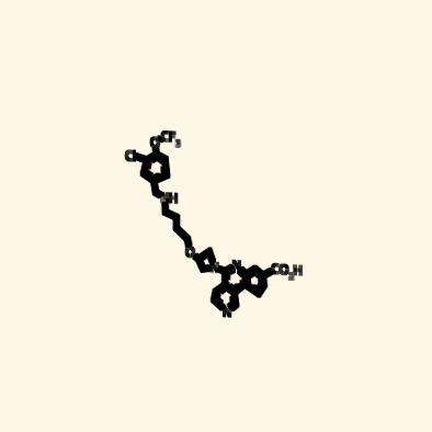 O=C(O)c1ccc2c(c1)nc(N1CC(OCCCCNCc3ccc(OC(F)(F)F)c(Cl)c3)C1)c1ccncc12